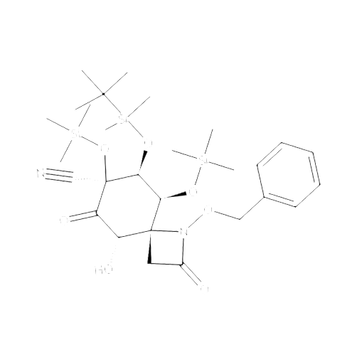 CC(C)(C)[Si](C)(C)O[C@H]1[C@@H](O[Si](C)(C)C)[C@@]2(CC(=O)N2OCc2ccccc2)[C@H](O)C(=O)[C@@]1(C#N)O[Si](C)(C)C